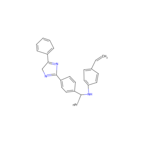 C=Cc1ccc(NC(CCC)c2ccc(C3=NCC(c4ccccc4)=N3)cc2)cc1